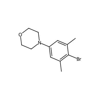 Cc1cc(N2CCOCC2)cc(C)c1Br